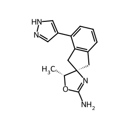 C[C@H]1OC(N)=N[C@@]12Cc1cccc(-c3cn[nH]c3)c1C2